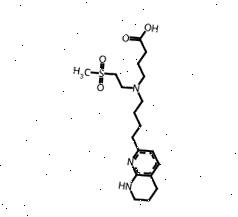 CS(=O)(=O)CCN(CCCCc1ccc2c(n1)NCCC2)CCCC(=O)O